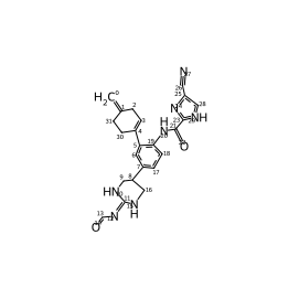 C=C1CC=C(c2cc(C3CNC(=NC=O)NC3)ccc2NC(=O)c2nc(C#N)c[nH]2)CC1